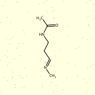 C/N=C/CCNC(C)=O